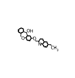 CCc1ccc2nc(COc3ccc4c(c3)C(O)c3ccccc3CO4)ccc2c1